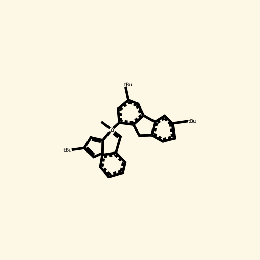 CC(C)(C)C1=CC[C]([Zr]([CH3])(=[CH]c2ccccc2)[c]2cc(C(C)(C)C)cc3c2Cc2ccc(C(C)(C)C)cc2-3)=C1